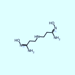 N/C(CCNCC/C(N)=N\O)=N/O